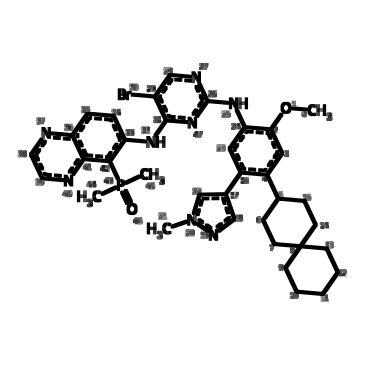 COc1cc(C2CCC3(CCCCC3)CC2)c(-c2cnn(C)c2)cc1Nc1ncc(Br)c(Nc2ccc3nccnc3c2P(C)(C)=O)n1